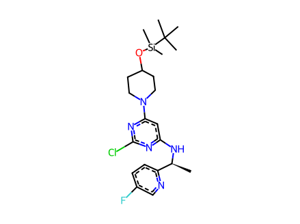 C[C@H](Nc1cc(N2CCC(O[Si](C)(C)C(C)(C)C)CC2)nc(Cl)n1)c1ccc(F)cn1